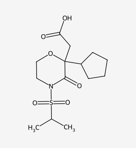 CC(C)S(=O)(=O)N1CCOC(CC(=O)O)(C2CCCC2)C1=O